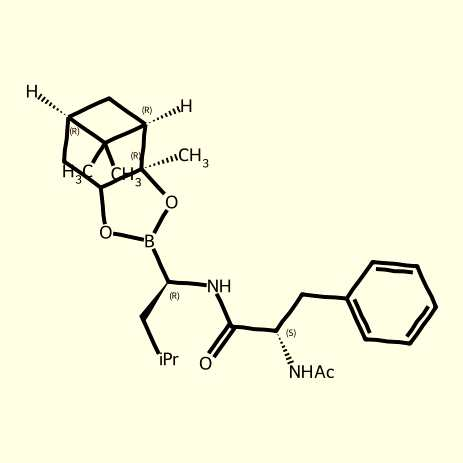 CC(=O)N[C@@H](Cc1ccccc1)C(=O)N[C@@H](CC(C)C)B1OC2C[C@H]3C[C@H](C3(C)C)[C@@]2(C)O1